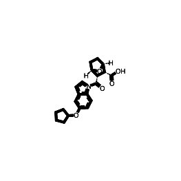 O=C(O)[C@@H]1[C@H](C(=O)n2ccc3cc(OC4CCCC4)ccc32)[C@H]2CC[C@@H]1O2